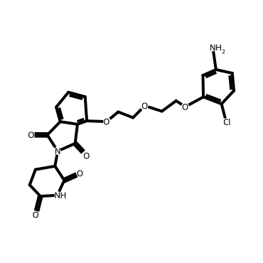 Nc1ccc(Cl)c(OCCOCCOc2cccc3c2C(=O)N(C2CCC(=O)NC2=O)C3=O)c1